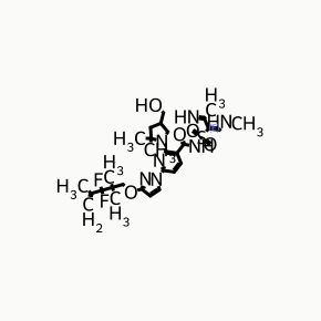 C=C(C)C(F)(F)C(C)(C)COc1ccn(-c2ccc(C(=O)NS(=O)(=O)/C(=C/NC)C(C)=N)c(N3CC(CO)CC3(C)C)n2)n1